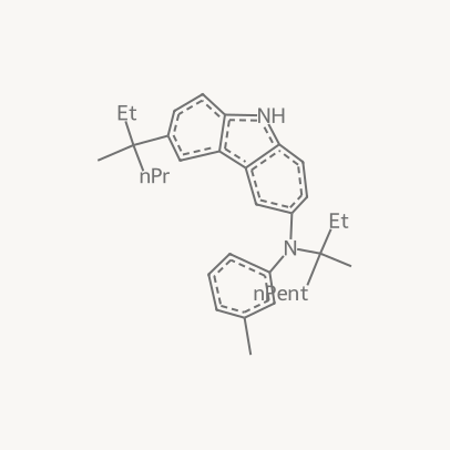 CCCCCC(C)(CC)N(c1cccc(C)c1)c1ccc2[nH]c3ccc(C(C)(CC)CCC)cc3c2c1